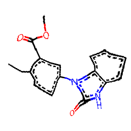 COC(=O)c1cc(-n2c(=O)[nH]c3ccccc32)ccc1C